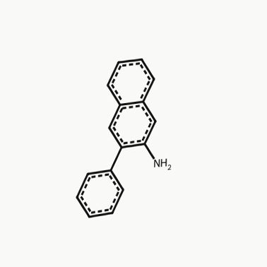 Nc1cc2ccccc2cc1-c1ccccc1